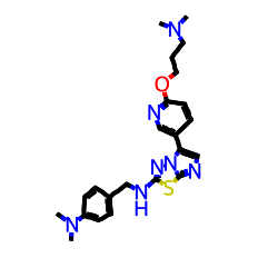 CN(C)CCCOc1ccc(-c2cnc3sc(NCc4ccc(N(C)C)cc4)nn23)cn1